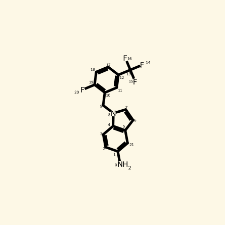 Nc1ccc2c(ccn2Cc2cc(C(F)(F)F)ccc2F)c1